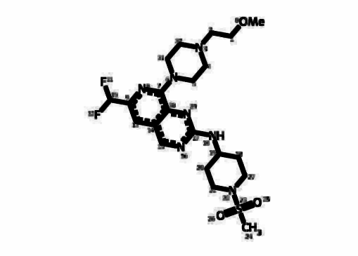 COCCN1CCN(c2nc(C(F)F)cc3cnc(NC4CCN(S(C)(=O)=O)CC4)nc23)CC1